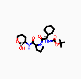 CC(C)(C)OC(=O)N[C@H](C(=O)N1C[CH]CC1C(=O)NC1CCCOB1O)C1CCCCC1